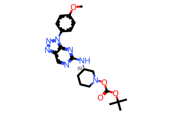 COc1ccc(-n2nnc3cnc(N[C@H]4CCCN(OC(=O)OC(C)(C)C)C4)nc32)cc1